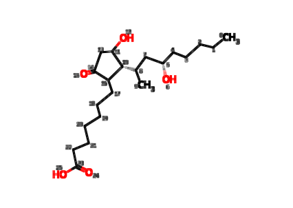 CCCCC[C@H](O)CC(C)[C@H]1C(O)CC(=O)C1CCCCCCC(=O)O